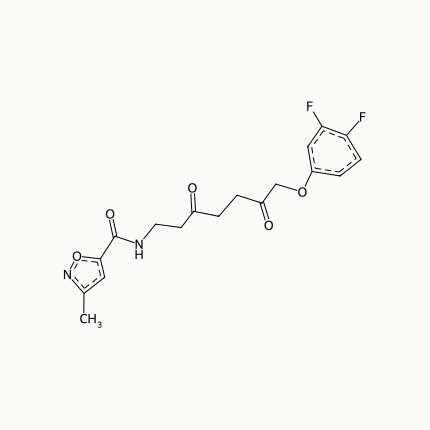 Cc1cc(C(=O)NCCC(=O)CCC(=O)COc2ccc(F)c(F)c2)on1